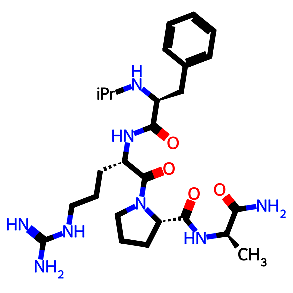 CC(C)N[C@@H](Cc1ccccc1)C(=O)N[C@@H](CCCNC(=N)N)C(=O)N1CCC[C@H]1C(=O)N[C@H](C)C(N)=O